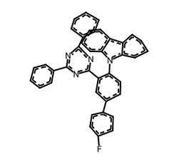 Fc1ccc(-c2ccc(-n3c4ccccc4c4ccccc43)c(-c3nc(-c4ccccc4)nc(-c4ccccc4)n3)c2)cc1